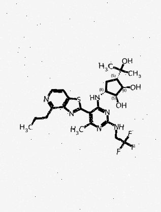 CCCc1nccc2sc(-c3c(C)nc(NCC(F)(F)F)nc3N[C@@H]3C[C@H](C(C)(C)O)[C@@H](O)[C@H]3O)nc12